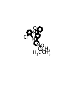 CC(C)(C)OC(=O)N1CCCC(c2ccc3c(c2)N(c2cccc(Cl)c2C#N)C(=O)C32CCCCC2)C1